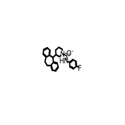 [O-][S+](Nc1ccc(F)cc1)N1CCCC(C2c3ccccc3CCc3ccccc32)C1